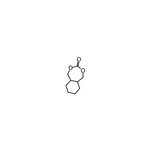 O=C1OCC2CCCCC2CO1